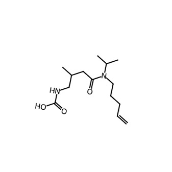 C=CCCCN(C(=O)CC(C)CNC(=O)O)C(C)C